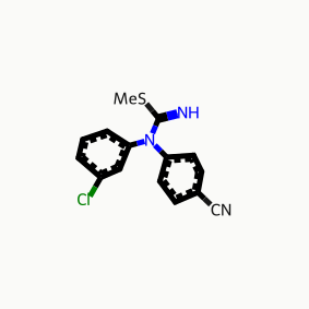 CSC(=N)N(c1ccc(C#N)cc1)c1cccc(Cl)c1